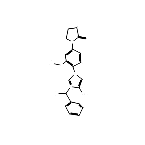 COc1cc(N2CCCC2=O)ccc1-n1cc(C)[n+](C(C)c2ccccc2)c1